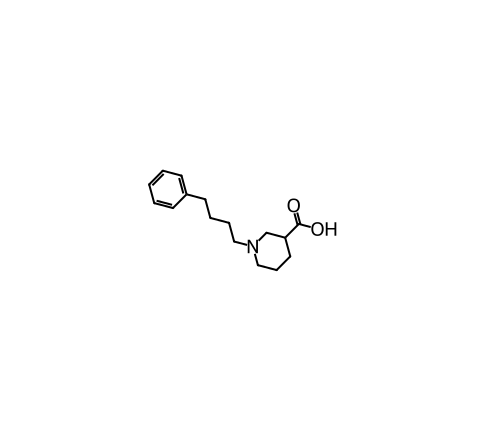 O=C(O)C1CCCN(CCCCc2ccccc2)C1